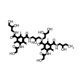 CCC(O)CNC(=O)c1c(I)c(NC(=O)CO)c(I)c(C(=O)N(CC(O)CO)CC(O)CNC(=O)c2c(I)c(NC(=O)CO)c(I)c(C(=O)NCC(O)CO)c2I)c1I